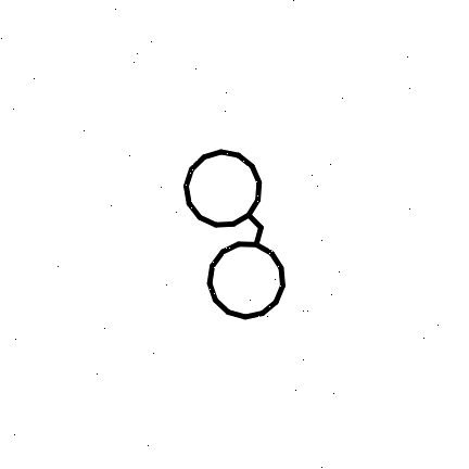 C1CCCCCCC(CC2CCCCCCCCCCCC2)CCCCC1